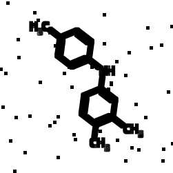 Cc1ccc(Nc2ccc(C)c(C)c2)cc1